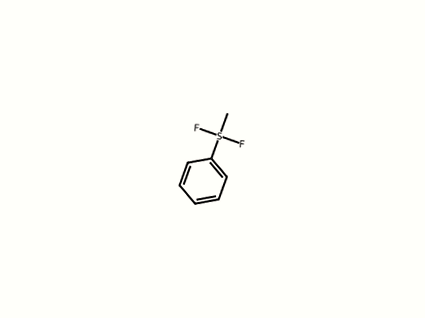 CS(F)(F)c1ccccc1